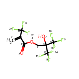 C=C(C(=O)OCC(O)(C(F)(F)F)C(F)(F)F)C(F)(F)F